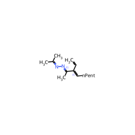 C=CC(=C\CCCCC)/C(C)=N/N=C(C)C